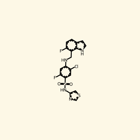 O=S(=O)(Nc1cscn1)c1cc(Cl)c(NCc2c(F)ccc3cc[nH]c23)cc1F